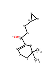 CC1(C)CCC=C(C(=O)CCC2CC2)C1